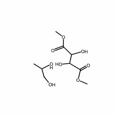 CC(O)CO.COC(=O)C(O)C(O)C(=O)OC